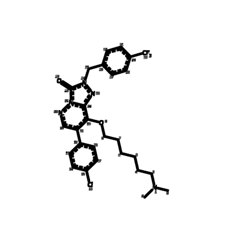 CN(C)CCCCCCOc1c(-c2ccc(Cl)cc2)cnn2c(=O)n(Cc3ccc(C(F)(F)F)cc3)nc12